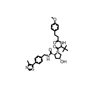 COc1ccc(CCC(=O)NC(C(=O)N2C[C@H](O)C[C@H]2C(=O)NCc2ccc(-c3scnc3C)cc2)C(C)(C)C)cc1